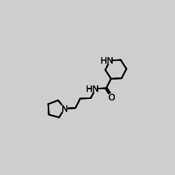 O=C(NCCCN1CCCC1)C1CCCNC1